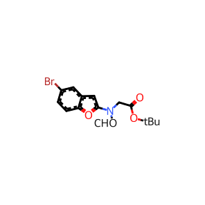 CC(C)(C)OC(=O)CN(C=O)c1cc2cc(Br)ccc2o1